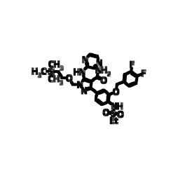 CCS(=O)(=O)Nc1ccc(-c2nn(COCC[Si](C)(C)C)c(Nc3cnccn3)c2C(N)=O)cc1OCc1ccc(F)c(F)c1